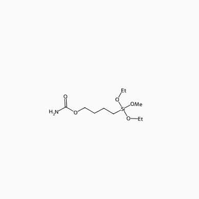 CCO[Si](CCCCOC(N)=O)(OC)OCC